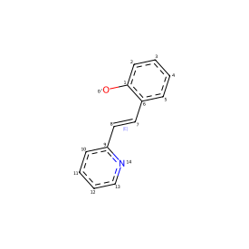 [O]c1ccccc1/C=C/c1ccccn1